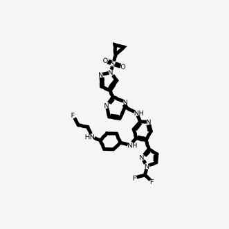 O=S(=O)(C1CC1)n1cc(-c2nccc(Nc3cc(NC4CCC(NCCF)CC4)c(-c4ccn(C(F)F)n4)cn3)n2)cn1